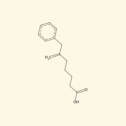 C=C(CCCCC(=O)O)Cc1ccccc1